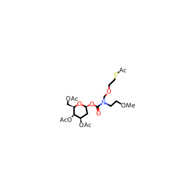 COCCN(COCCSC(C)=O)C(=O)O[C@H]1C[C@@H](OC(C)=O)[C@@H](OC(C)=O)[C@@H](COC(C)=O)O1